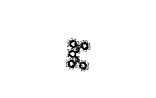 C(=c1ccccc1=CP(c1ccccc1)c1ccccc1)P(c1ccccc1)c1ccccc1